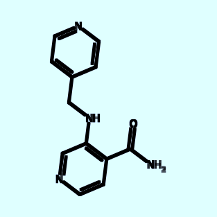 NC(=O)c1ccncc1NCc1ccncc1